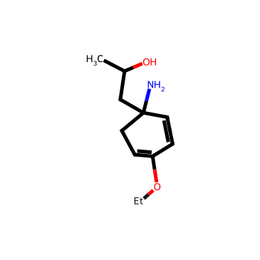 CCOC1=CCC(N)(CC(C)O)C=C1